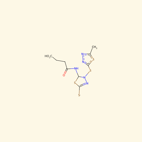 Cc1nnc(SN2N=C([S])SC2NC(=O)CCC(=O)O)s1